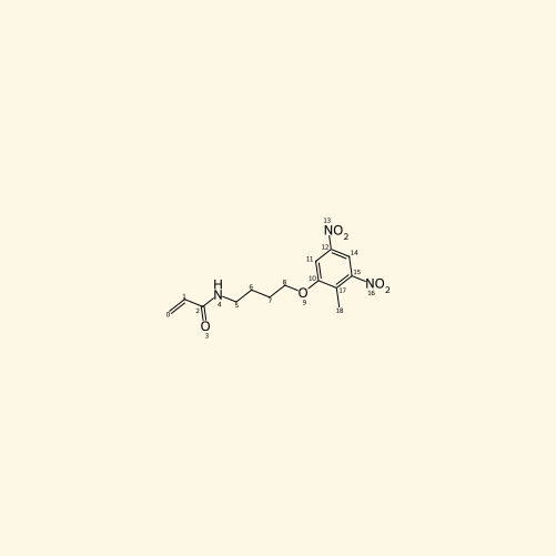 C=CC(=O)NCCCCOc1cc([N+](=O)[O-])cc([N+](=O)[O-])c1C